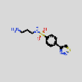 NCCCNS(=O)(=O)c1ccc(-c2csnn2)cc1